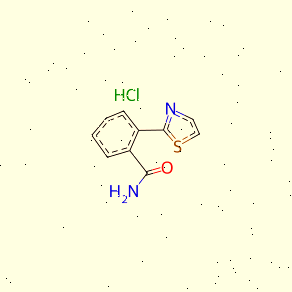 Cl.NC(=O)c1ccccc1-c1nccs1